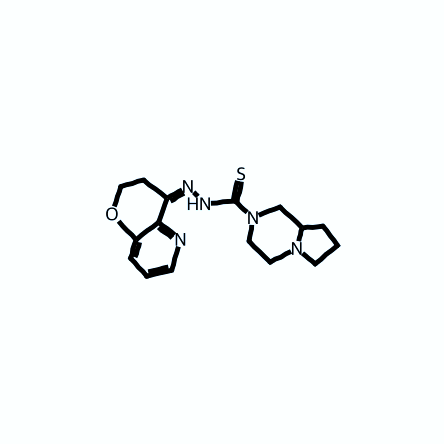 S=C(N/N=C1/CCOc2cccnc21)N1CCN2CCCC2C1